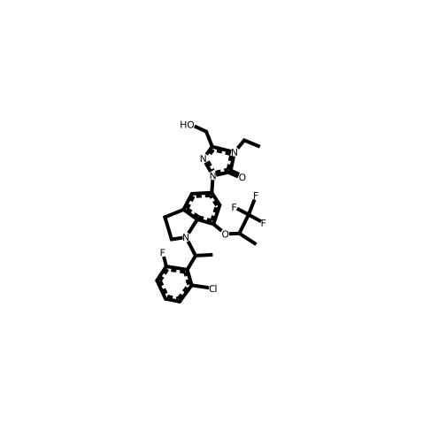 CCn1c(CO)nn(-c2cc3c(c(OC(C)C(F)(F)F)c2)N(C(C)c2c(F)cccc2Cl)CC3)c1=O